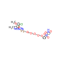 COc1ccc(Cl)c(F)c1-c1cc(C)ncc1C(=O)Nc1nnc(SCCOCCOCCOCCOCCOc2cccc3c2C(=O)N(C2CCC(=O)NC2=O)C3=O)s1